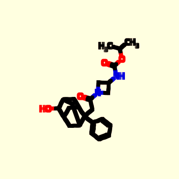 CC(C)OC(=O)NC1CN(C(=O)CC2(c3ccccc3)C3CC4CC2CC(C3)C4O)C1